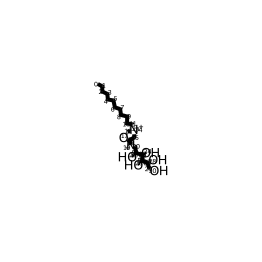 CCCCCCCCCCCC[N+](C)(C)CC(=O)N(C)C[C@H](O)[C@@H](O)[C@H](O)[C@H](O)CO